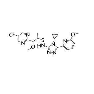 COc1cccc(-c2nnc(NSC(C)[C@H](OC)c3ncc(Cl)cn3)n2C2CC2)n1